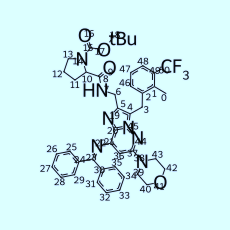 Cc1c(Cc2c(CNC(=O)C3CCCN3C(=O)OC(C)(C)C)nc3c(N=C(c4ccccc4)c4ccccc4)cc(N4CCOCC4)nn23)cccc1C(F)(F)F